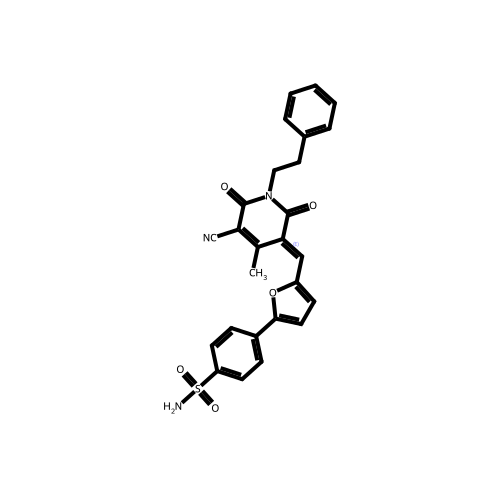 CC1=C(C#N)C(=O)N(CCc2ccccc2)C(=O)/C1=C/c1ccc(-c2ccc(S(N)(=O)=O)cc2)o1